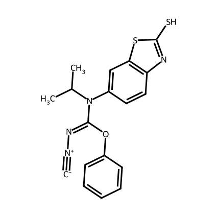 [C-]#[N+]/N=C(\Oc1ccccc1)N(c1ccc2nc(S)sc2c1)C(C)C